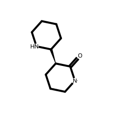 O=C1[N]CCC[C@H]1C1CCCCN1